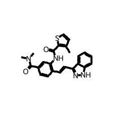 Cc1ccsc1C(=O)Nc1cc(C(=O)N(C)C)ccc1C=Cc1n[nH]c2ccccc12